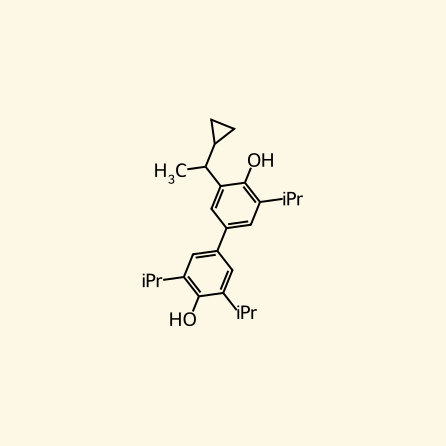 CC(C)c1cc(-c2cc(C(C)C)c(O)c(C(C)C3CC3)c2)cc(C(C)C)c1O